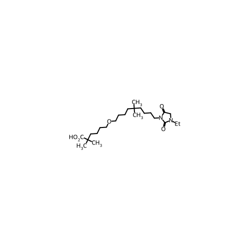 CCN1CC(=O)N(CCCCC(C)(C)CCCCOCCCCC(C)(C)C(=O)O)C1=O